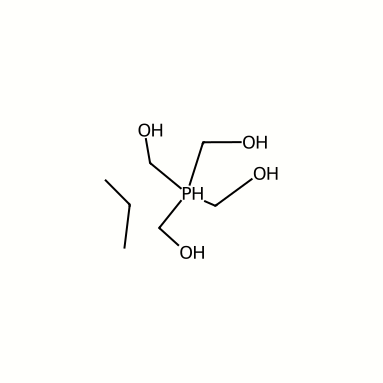 CCC.OC[PH](CO)(CO)CO